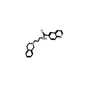 O=C(NCCCN1CCc2ccccc2C1)c1ccc2ncccc2c1